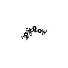 CC(=O)Nc1ccc(Nc2ccccc2CN2C(=O)N(c3ccc(C#N)c(C(F)(F)F)c3)C(=O)C2(C)C)cc1